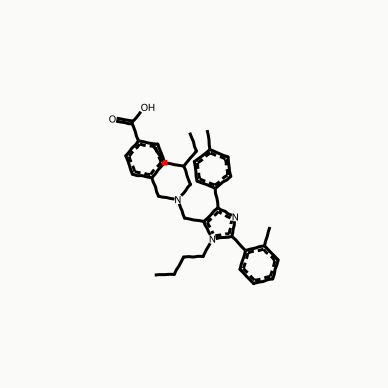 CCCCn1c(-c2ccccc2C)nc(-c2ccc(C)cc2)c1CN(Cc1ccc(C(=O)O)cc1)CC(CC)CC